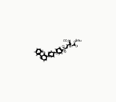 CC(C)(C)OC(=O)NC(CCS(=O)(=O)c1ccc(-c2ccc(-c3cccc4c3oc3ccccc34)cc2)cc1)C(=O)O